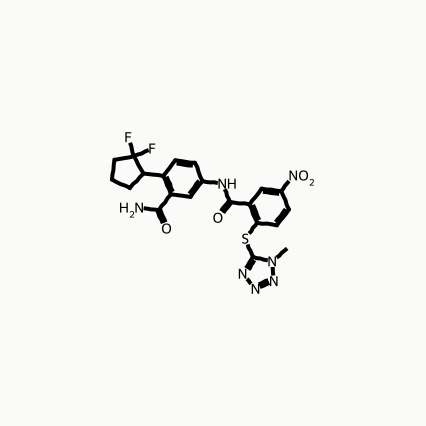 Cn1nnnc1Sc1ccc([N+](=O)[O-])cc1C(=O)Nc1ccc(C2CCCC2(F)F)c(C(N)=O)c1